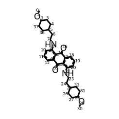 COC1CCC(CCNc2cccc3c2C(=O)c2cccc(NCCC4CCC(OC)CC4)c2C3=O)CC1